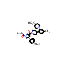 CNC(=O)N1C[C@@H](c2ccc(OC)cc2)[C@](F)(C(=O)N2CCC(c3ccc(C(F)(F)F)cc3N3CCC(C(=O)O)CC3)CC2)C1